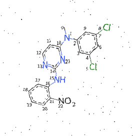 CN(c1cc(Cl)cc(Cl)c1)c1ccnc(Nc2ccccc2[N+](=O)[O-])n1